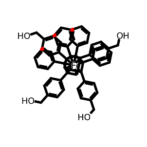 OCc1ccc([C]23[CH]4[C]5(c6ccc(CO)cc6)[C]6(c7ccccc7)[C]2(c2ccccc2)[Fe]43562789[CH]3[C]2(c2ccc(CO)cc2)[C]7(c2ccccc2)[C]8(c2ccccc2)[C]39c2ccc(CO)cc2)cc1